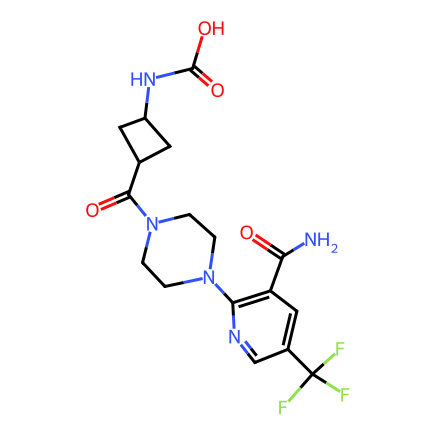 NC(=O)c1cc(C(F)(F)F)cnc1N1CCN(C(=O)C2CC(NC(=O)O)C2)CC1